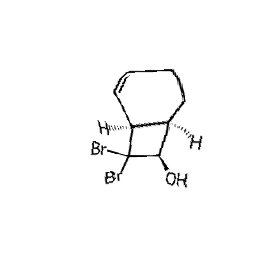 O[C@@H]1[C@@H]2CCC=C[C@@H]2C1(Br)Br